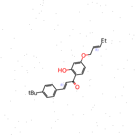 CC/C=C/COc1ccc(C(=O)/C=C/c2ccc(C(C)(C)C)cc2)c(O)c1